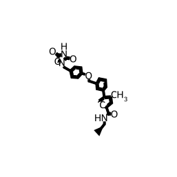 Cc1cc(C(=O)NCC2CC2)ccc1-c1cccc(COc2ccc(Cn3oc(=O)[nH]c3=O)cc2)c1